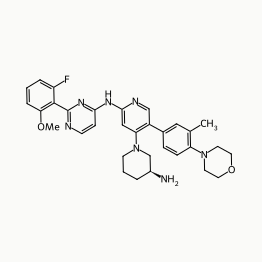 COc1cccc(F)c1-c1nccc(Nc2cc(N3CCC[C@H](N)C3)c(-c3ccc(N4CCOCC4)c(C)c3)cn2)n1